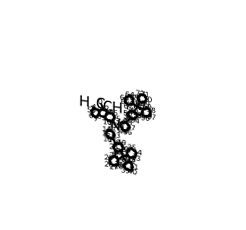 CC1(C)c2ccccc2-c2cc(N(c3cccc(-c4ccc5c(c4)-c4ccccc4C5(c4ccccc4)c4ccccc4)c3)c3cccc(-c4ccc5c(c4)-c4ccccc4C5(c4ccccc4)c4ccccc4)c3)ccc21